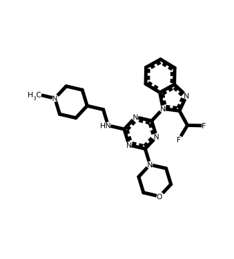 CN1CCC(CNc2nc(N3CCOCC3)nc(-n3c(C(F)F)nc4ccccc43)n2)CC1